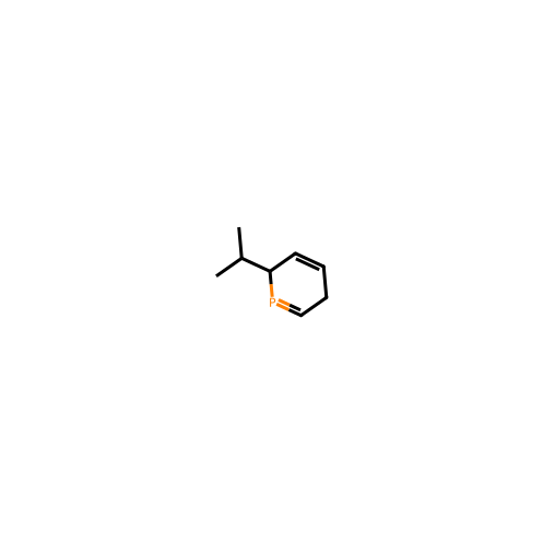 CC(C)C1C=CCC=P1